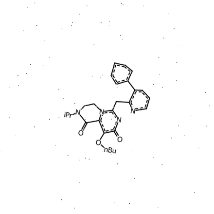 CCCCOc1c2n(c(Cc3ncccc3-c3ccccc3)nc1=O)CCN(C(C)C)C2=O